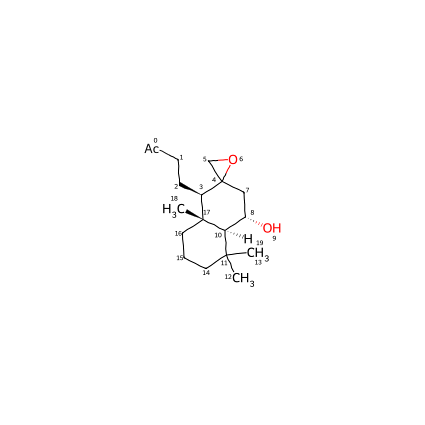 CC(=O)CC[C@H]1C2(CO2)C[C@H](O)[C@H]2C(C)(C)CCC[C@@]21C